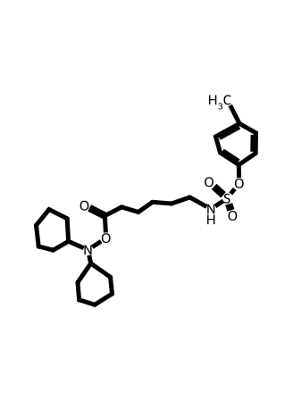 Cc1ccc(OS(=O)(=O)NCCCCCC(=O)ON(C2CCCCC2)C2CCCCC2)cc1